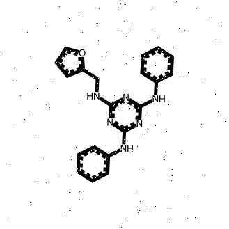 c1ccc(Nc2nc(NCc3ccco3)nc(Nc3ccccc3)n2)cc1